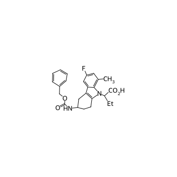 CCC(C(=O)O)n1c2c(c3cc(F)cc(C)c31)CC(NC(=O)OCc1ccccc1)CC2